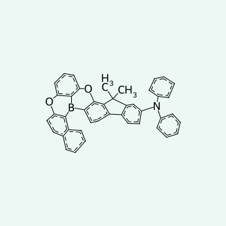 CC1(C)c2cc(N(c3ccccc3)c3ccccc3)ccc2-c2ccc3c(c21)Oc1cccc2c1B3c1c(ccc3ccccc13)O2